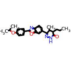 CCCC1C(=O)NN=C(c2ccc3nc(-c4ccc(OC(C)C)cc4)oc3c2)C1C